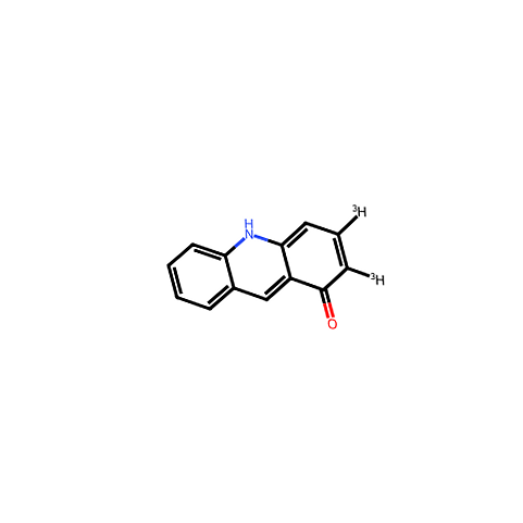 [3H]c1cc2[nH]c3ccccc3cc-2c(=O)c1[3H]